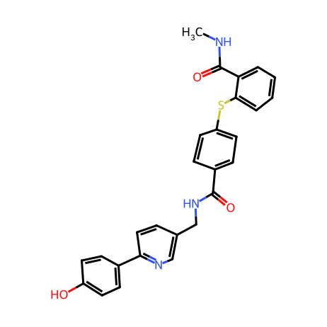 CNC(=O)c1ccccc1Sc1ccc(C(=O)NCc2ccc(-c3ccc(O)cc3)nc2)cc1